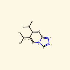 CC(C)c1cc2nncn2cc1C(C)C